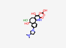 CN(C)C1CCN(c2ccc3c(c2)C(O)CCc2c-3[nH]c(=O)c(OC(=O)O)c2O)C1.Cl